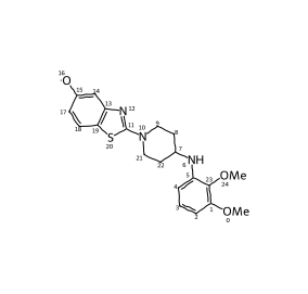 COc1cccc(NC2CCN(c3nc4cc([O])ccc4s3)CC2)c1OC